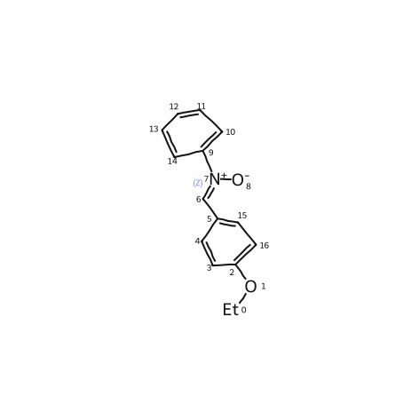 CCOc1ccc(/C=[N+](\[O-])c2ccccc2)cc1